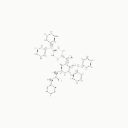 O=C(Nc1ccccc1)Nc1ccc(OC(c2ccccc2)c2ccccc2)c(C(=O)N2CCN(C(c3ccccc3)c3ccccc3)CC2)c1